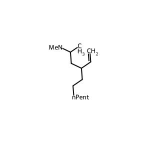 C=CC(CCCCCCC)CC(C)NC